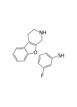 Fc1cccc(S)c1.c1ccc2c3c(oc2c1)CNCC3